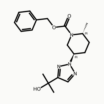 C[C@@H]1CC[C@@H](n2ncc(C(C)(C)O)n2)CN1C(=O)OCc1ccccc1